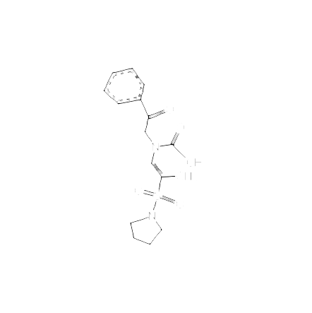 CC(=O)N(/C=C(\C)S(=O)(=O)N1CCCC1)CC(=O)c1ccccc1